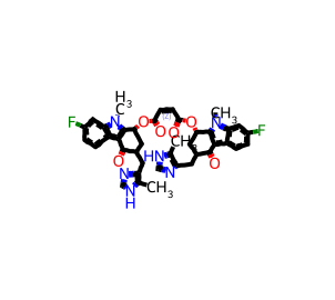 Cc1[nH]cnc1CC1CC(OC(=O)/C=C\C(=O)OC2CC(Cc3nc[nH]c3C)C(=O)c3c2n(C)c2cc(F)ccc32)c2c(c3ccc(F)cc3n2C)C1=O